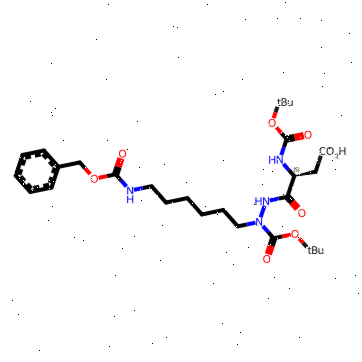 CC(C)(C)OC(=O)N[C@@H](CC(=O)O)C(=O)NN(CCCCCCNC(=O)OCc1ccccc1)C(=O)OC(C)(C)C